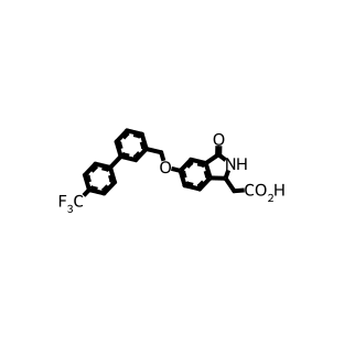 O=C(O)CC1NC(=O)c2cc(OCc3cccc(-c4ccc(C(F)(F)F)cc4)c3)ccc21